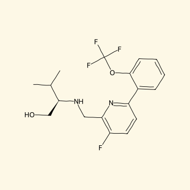 CC(C)[C@H](CO)NCc1nc(-c2ccccc2OC(F)(F)F)ccc1F